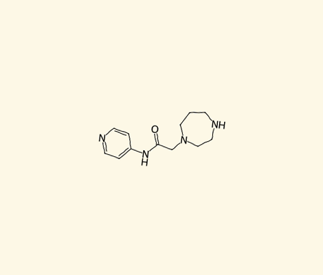 O=C(CN1CCCNCC1)Nc1ccncc1